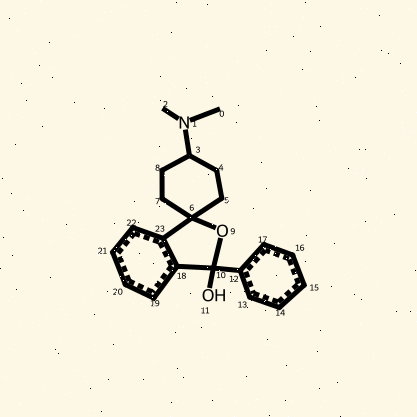 CN(C)C1CCC2(CC1)OC(O)(c1ccccc1)c1ccccc12